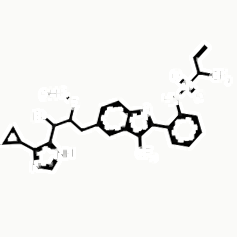 C=CC(C(F)(F)F)S(=O)(=O)Nc1ccccc1-c1oc2ccc(CC(OC=O)C(CC)c3[nH]cnc3C3CC3)cc2c1C(F)(F)F